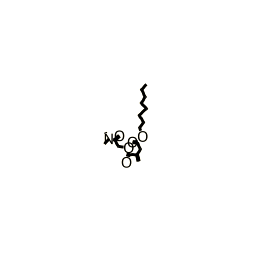 C=C(CC(=O)OCCCCCCCC)C(=O)OCC(=O)N(C)C